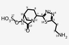 NCCc1nnc(C2CCC3CN2C(=O)N3OS(=O)(=O)O)s1